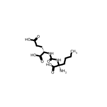 CCCC[C@](N)(NC(=O)N[C@@H](CCC(=O)O)C(=O)O)C(=O)O